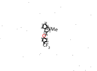 CNCC(COc1ccc(C(F)(F)F)cc1)Cc1ccccc1